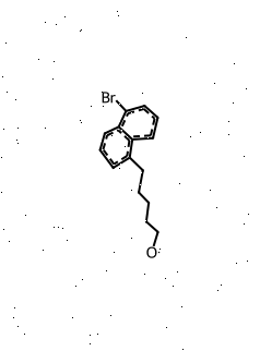 [O]CCCCCc1cccc2c(Br)cccc12